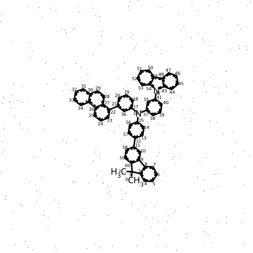 CC1(C)c2ccccc2-c2cc(-c3ccc(N(c4cccc(-c5cccc6c5ccc5ccccc56)c4)c4cccc(-n5c6ccccc6c6ccccc65)c4)cc3)ccc21